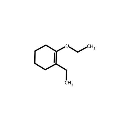 CCOC1=C(CC)CCCC1